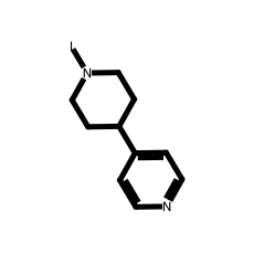 IN1CCC(c2ccncc2)CC1